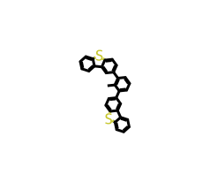 Cc1c(-c2ccc3sc4ccccc4c3c2)cccc1-c1ccc2sc3ccccc3c2c1